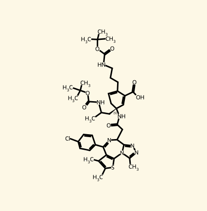 Cc1sc2c(c1C)C(c1ccc(Cl)cc1)=NC(CC(=O)N[C@@]1(CC(C)NC(=O)OC(C)(C)C)C=C(C(=O)O)C(CCCNC(=O)OC(C)(C)C)=CC1)c1nnc(C)n1-2